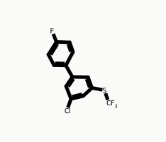 Fc1ccc(-c2cc(Cl)[c]c(SC(F)(F)F)c2)cc1